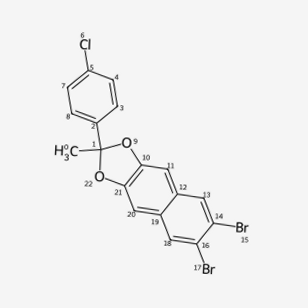 CC1(c2ccc(Cl)cc2)Oc2cc3cc(Br)c(Br)cc3cc2O1